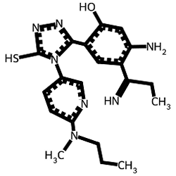 CCCN(C)c1ccc(-n2c(S)nnc2-c2cc(C(=N)CC)c(N)cc2O)cn1